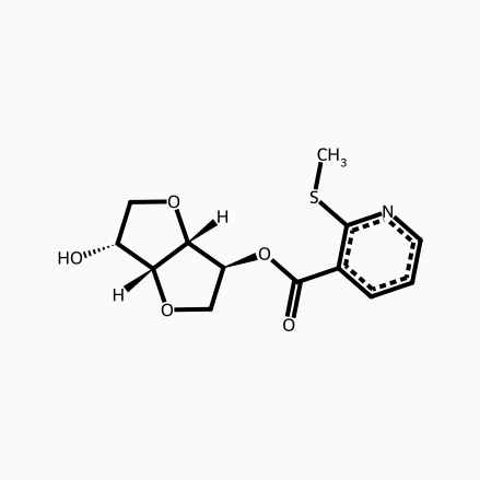 CSc1ncccc1C(=O)O[C@H]1CO[C@H]2[C@@H]1OC[C@H]2O